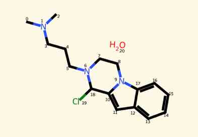 CN(C)CCCN1CCn2c(cc3ccccc32)C1Cl.O